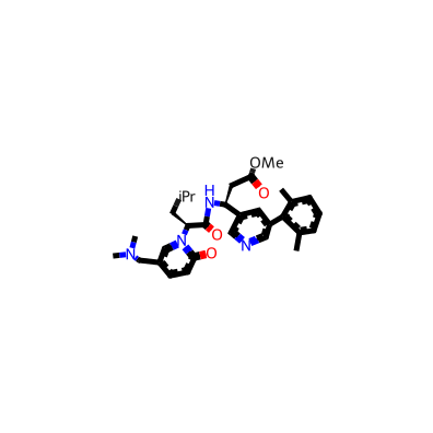 COC(=O)C[C@H](NC(=O)[C@H](CC(C)C)n1cc(CN(C)C)ccc1=O)c1cncc(-c2c(C)cccc2C)c1